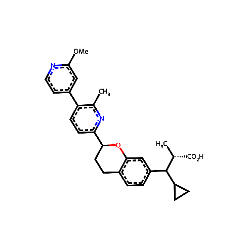 COc1cc(-c2ccc(C3CCc4ccc(C(C5CC5)[C@H](C)C(=O)O)cc4O3)nc2C)ccn1